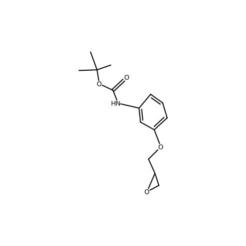 CC(C)(C)OC(=O)Nc1cccc(OCC2CO2)c1